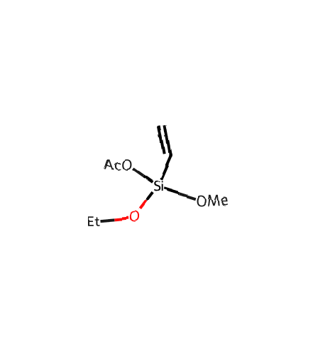 C=C[Si](OC)(OCC)OC(C)=O